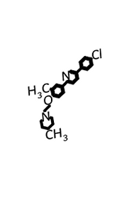 Cc1cc(-c2ccc(-c3ccc(Cl)cc3)cn2)ccc1OCCN1CCC(C)CC1